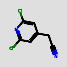 N#CCc1cc(Cl)nc(Cl)c1